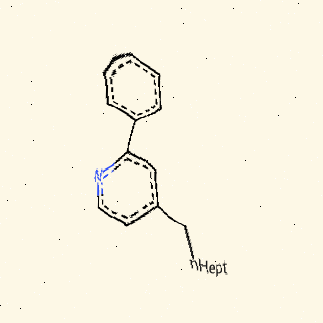 CCCCCCCCc1ccnc(-c2ccccc2)c1